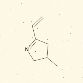 C=CC1=NCC(C)C1